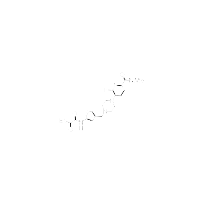 CCC(=O)C(=O)Nc1cc(CN2CCN(c3ccc(C(=O)NC)nc3F)CC2)cs1